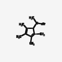 CCC[Si](C)C1C(C)=C(C)C(C)=C1C